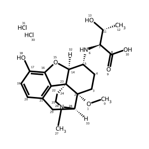 CO[C@@]12CC[C@@H](N[C@H](C(=O)O)[C@@H](C)O)[C@@H]3Oc4c(O)ccc5c4[C@@]31CCN(C)[C@@H]2C5.Cl.Cl